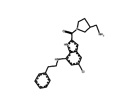 NCC1CCN(C(=O)c2cc3cc(Cl)cc(NCCc4ccccc4)c3[nH]2)C1